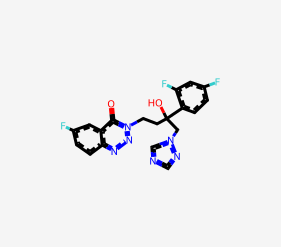 O=c1c2cc(F)ccc2nnn1CCC(O)(Cn1cncn1)c1ccc(F)cc1F